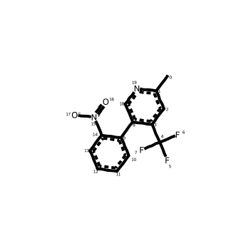 Cc1cc(C(F)(F)F)c(-c2ccccc2[N+](=O)[O-])cn1